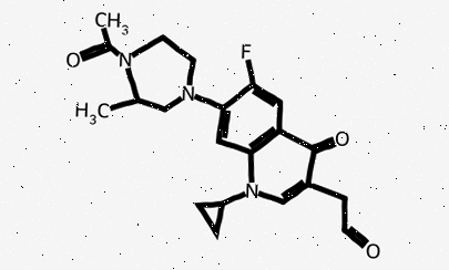 CC(=O)N1CCN(c2cc3c(cc2F)c(=O)c(CC=O)cn3C2CC2)CC1C